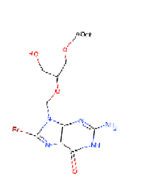 CCCCCCCCOCC(CO)OCn1c(Br)nc2c(=O)[nH]c(N)nc21